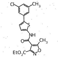 CCOC(=O)c1noc(C)c1C(=O)Nc1ccc(-c2cc(C)cc(Cl)c2)s1